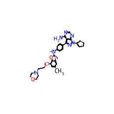 Cc1cc(OCCN2CCOCC2)c2oc(Nc3ccc(-c4nn(C5CCCC5)c5ncnc(N)c45)cc3)nc2c1